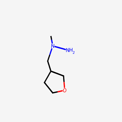 CN(N)CC1CCOC1